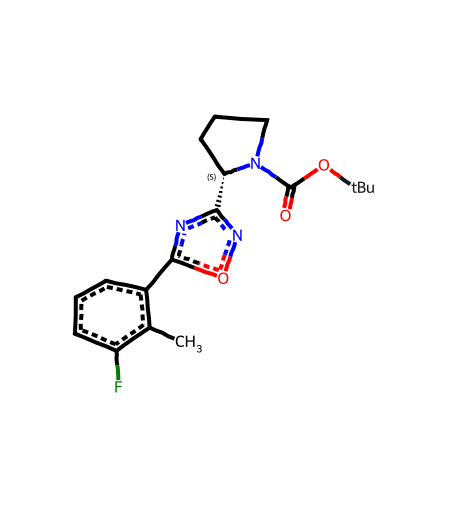 Cc1c(F)cccc1-c1nc([C@@H]2CCCN2C(=O)OC(C)(C)C)no1